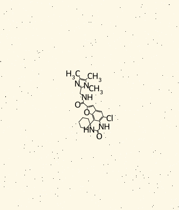 Cc1nc(CNC(=O)c2cc3cc(Cl)c4c(c3o2)C2(CCCCC2)NC(=O)N4)n(C)c1C